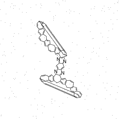 C1=Cc2cc3c4cc2Cc2cc5c(cc21)C=Cc1cc2c(cc1C5)Cc1cc(c(cc1-c1nc5cc6nc7c(nc6cc5nc1-2)-c1cc2c5cc1Cc1cc6c(cc1-7)C=Cc1cc7c(cc1C6)Cc1cc(c(cc1C=C7)C=C2)C5)C=C3)C4